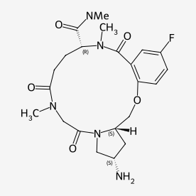 CNC(=O)[C@H]1CCC(=O)N(C)CC(=O)N2C[C@@H](N)C[C@H]2COc2ccc(F)cc2C(=O)N1C